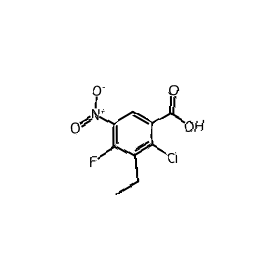 CCc1c(F)c([N+](=O)[O-])cc(C(=O)O)c1Cl